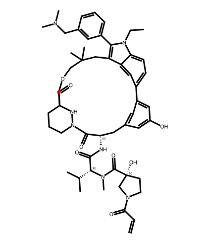 C=CC(=O)N1CC[C@](O)(C(=O)N(C)[C@@H](C(=O)N[C@H]2Cc3cc(O)cc(c3)-c3ccc4c(c3)c(c(-c3cccc(CN(C)C)c3)n4CC)CC(C)(C)COCC3(C=O)CCCN(N3)C2=O)C(C)C)C1